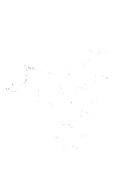 COB(OCC(C)C)c1ccc2c3c(cccc13)-c1c(-c3ccccc3)ccc(-c3ccccc3)c1-2